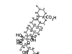 CC1CCC2(C(=O)O)CCC3C(=CCC4C3(C)CCC3C4(C)CCC(C(OC(C(C)O)C(CCF)N=O)C(O)O)[C@@]3(C)O)C2C1